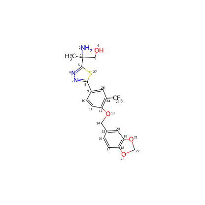 CC(N)(CO)c1nnc(-c2ccc(OCc3ccc4c(c3)OCO4)c(C(F)(F)F)c2)s1